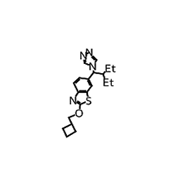 CCC(CC)C(c1ccc2nc(OCC3CCC3)sc2c1)n1cnnc1